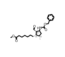 COC(=O)CCCCCC[C@H]1[C@@H](C)CC(NC(=O)OCc2ccccc2)[C@@H]1C=O